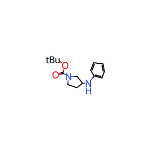 CC(C)(C)OC(=O)N1CC[C@H](Nc2ccccc2)C1